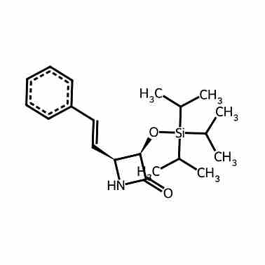 CC(C)[Si](O[C@H]1C(=O)N[C@H]1C=Cc1ccccc1)(C(C)C)C(C)C